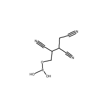 N#CCC(C#N)C(C#N)COB(O)O